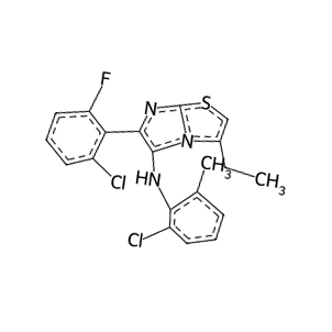 CCc1csc2nc(-c3c(F)cccc3Cl)c(Nc3c(C)cccc3Cl)n12